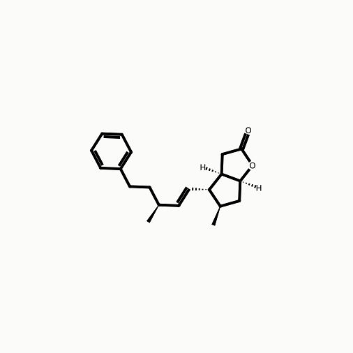 C[C@H](/C=C/[C@@H]1[C@H]2CC(=O)O[C@H]2C[C@H]1C)CCc1ccccc1